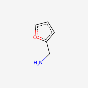 NCc1cc[c]o1